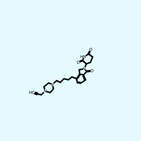 C#CCN1CCN(CCCCCc2cccc3c2CN(C2CCC(=O)NC2=O)C3=O)CC1